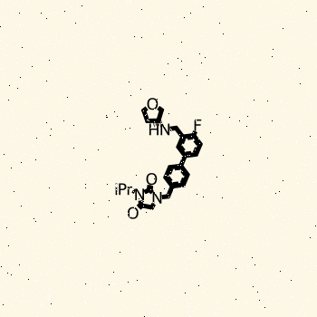 CC(C)N1C(=O)CN(Cc2ccc(-c3ccc(F)c(CN[C@@H]4CCOC4)c3)cc2)C1=O